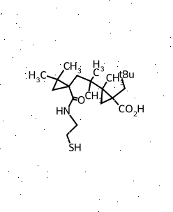 CC(C)(C)CC1(C(=O)O)CC1(C)C(C)(C)CC1(C(=O)NCCS)CC1(C)C